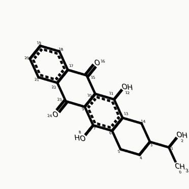 CC(O)C1CCc2c(O)c3c(c(O)c2C1)C(=O)c1ccccc1C3=O